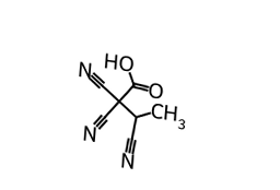 CC(C#N)C(C#N)(C#N)C(=O)O